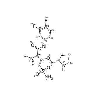 Cn1cc(S(N)(=O)=O)c(OC[C@@H]2CCCN2)c1C(=O)Nc1ccc(F)c(F)c1